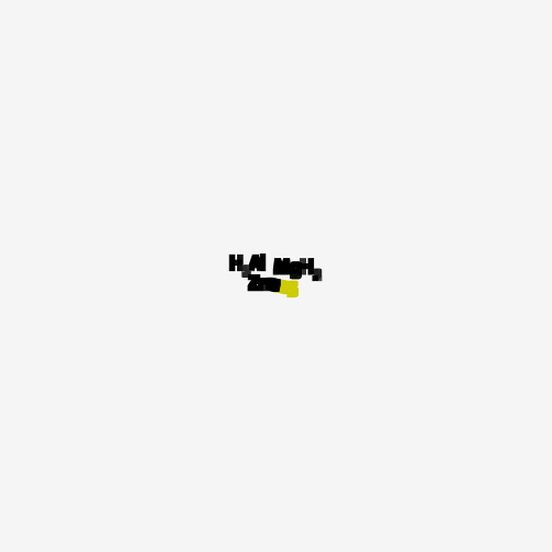 [AlH3].[MgH2].[S]=[Zn]